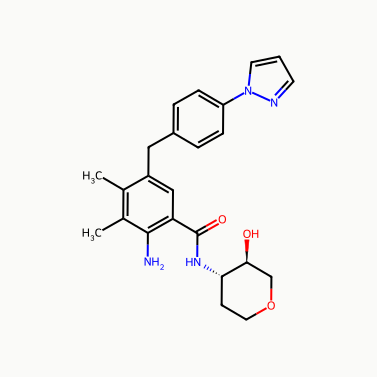 Cc1c(Cc2ccc(-n3cccn3)cc2)cc(C(=O)N[C@H]2CCOC[C@@H]2O)c(N)c1C